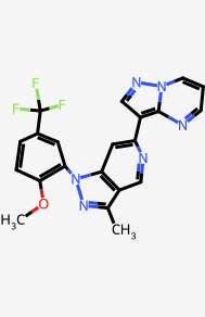 COc1ccc(C(F)(F)F)cc1-n1nc(C)c2cnc(-c3cnn4cccnc34)cc21